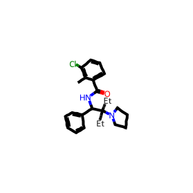 CCC(CC)(C(NC(=O)c1cccc(Cl)c1C)c1ccccc1)N1CCCC1